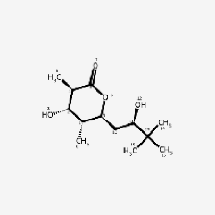 C[C@@H]1[C@H](O)[C@@H](C)C(=O)O[C@H]1C[C@@H](O)C(C)(C)C